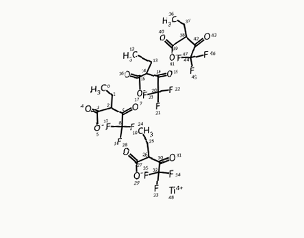 CCC(C(=O)[O-])C(=O)C(F)(F)F.CCC(C(=O)[O-])C(=O)C(F)(F)F.CCC(C(=O)[O-])C(=O)C(F)(F)F.CCC(C(=O)[O-])C(=O)C(F)(F)F.[Ti+4]